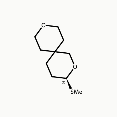 CS[C@H]1CCC2(CCOCC2)CO1